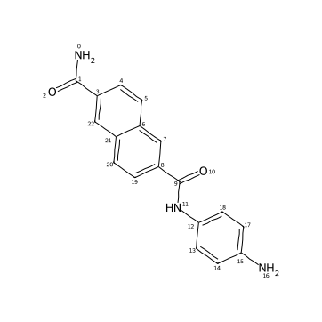 NC(=O)c1ccc2cc(C(=O)Nc3ccc(N)cc3)ccc2c1